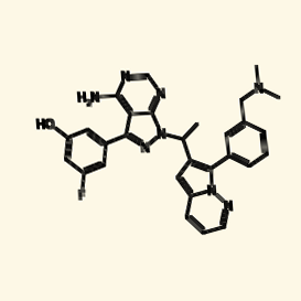 CC(c1cc2cccnn2c1-c1cccc(CN(C)C)c1)n1nc(-c2cc(O)cc(F)c2)c2c(N)ncnc21